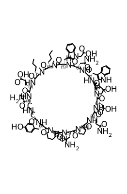 CCCC[C@H]1C(=O)N(C)[C@@H](CCCC)C(=O)N[C@@H](CCC(=O)O)C(=O)N[C@H](C(N)=O)CNCC(=O)N[C@@H](Cc2ccc(O)cc2)C(=O)N2CCCC[C@H]2C(=O)N[C@@H](CC(N)=O)C(=O)N2CCC[C@H]2C(=O)N[C@@H](CCC(N)=O)C(=O)N[C@@H](CC(=O)O)C(=O)N2C[C@H](O)C[C@H]2C(=O)N[C@@H](Cc2c[nH]c3ccccc23)C(=O)N[C@@H](CC(N)=O)C(=O)N[C@@H](Cc2cn(CC(=O)O)c3ccccc23)C(=O)N1C